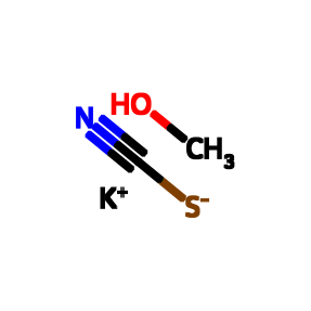 CO.N#C[S-].[K+]